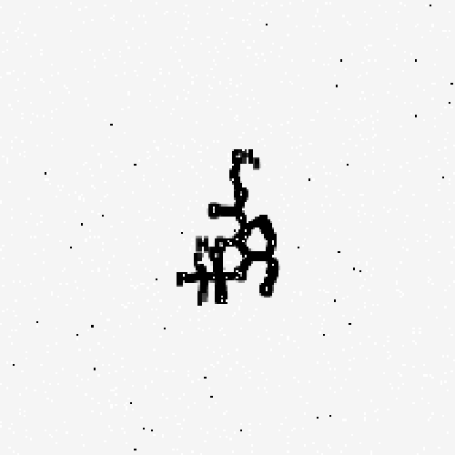 CCOC(=O)c1ccc(C=O)c(OS(=O)(=O)C(F)(F)F)c1C